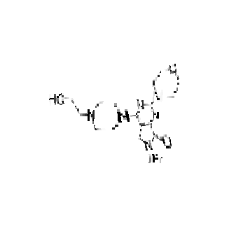 CC(C)N1Cc2c(nc(N3CCOCC3)nc2N2CCN(CCO)CC2)C1=O